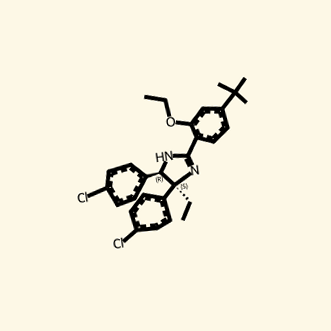 CCOc1cc(C(C)(C)C)ccc1C1=N[C@@](CC)(c2ccc(Cl)cc2)[C@@H](c2ccc(Cl)cc2)N1